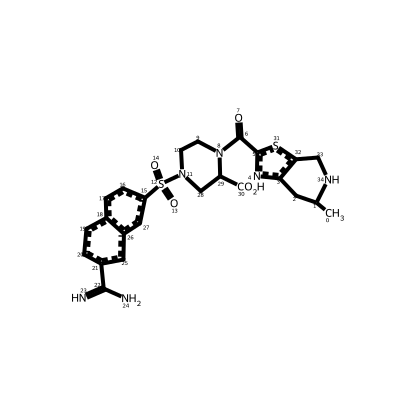 CC1Cc2nc(C(=O)N3CCN(S(=O)(=O)c4ccc5ccc(C(=N)N)cc5c4)CC3C(=O)O)sc2CN1